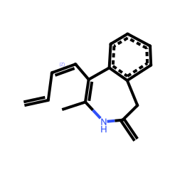 C=C/C=C\C1=C(C)NC(=C)Cc2ccccc21